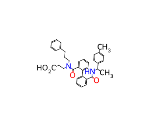 Cc1ccc([C@@H](C)NC(=O)c2ccccc2-c2ccccc2C(=O)N(CCCc2ccccc2)CCC(=O)O)cc1